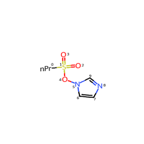 CCCS(=O)(=O)On1ccnc1